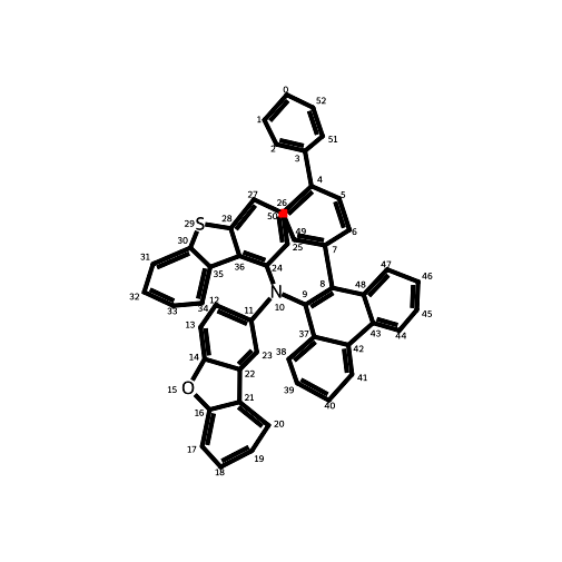 c1ccc(-c2ccc(-c3c(N(c4ccc5oc6ccccc6c5c4)c4cccc5sc6ccccc6c45)c4ccccc4c4ccccc34)cc2)cc1